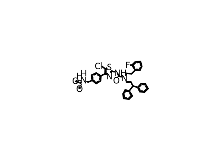 O=C(Nc1nc(-c2ccc(CN[SH](=O)=O)cc2)c(Cl)s1)N(CCc1ccccc1F)CCC(c1ccccc1)c1ccccc1